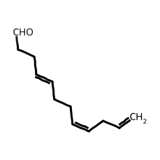 C=CC/C=C\CC/C=C/CCC=O